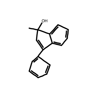 CC1(O)C=C(c2ccccc2)c2ccccc21